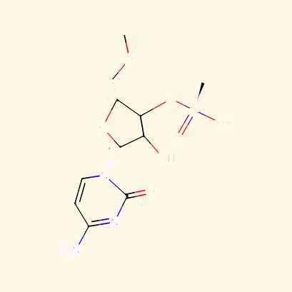 COC[C@H]1O[C@@H](n2ccc(N)nc2=O)C(O)C1O[P@@](C)(=O)O